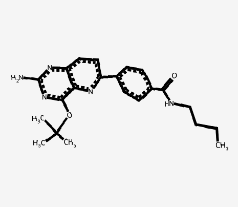 CCCCNC(=O)c1ccc(-c2ccc3nc(N)nc(OC(C)(C)C)c3n2)cc1